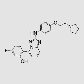 Oc1cc(F)ccc1-c1cccc2nc(Nc3ccc(OCCN4CCCC4)cc3)nn12